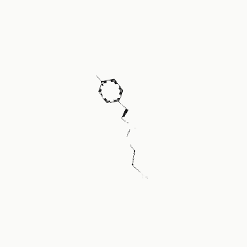 NCCOBC=Cc1ccc(F)cc1